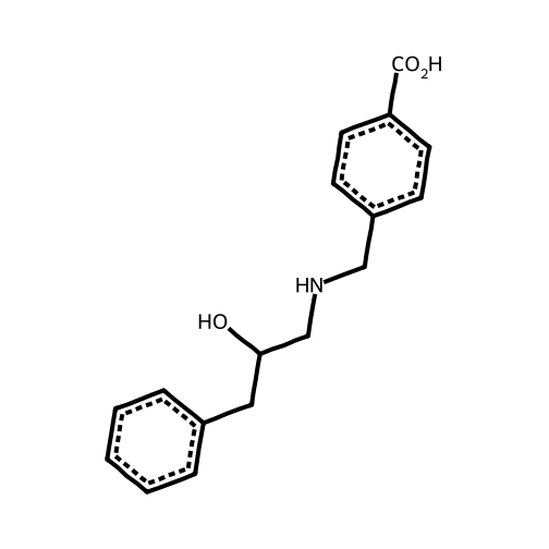 O=C(O)c1ccc(CNCC(O)Cc2ccccc2)cc1